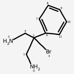 NCC(Br)(CN)c1ccccc1